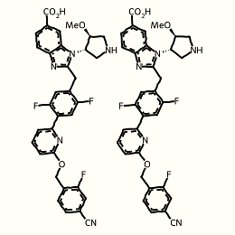 CO[C@H]1CNC[C@@H]1n1c(Cc2cc(F)c(-c3cccc(OCc4ccc(C#N)cc4F)n3)cc2F)nc2ccc(C(=O)O)cc21.CO[C@H]1CNC[C@@H]1n1c(Cc2cc(F)c(-c3cccc(OCc4ccc(C#N)cc4F)n3)cc2F)nc2ccc(C(=O)O)cc21